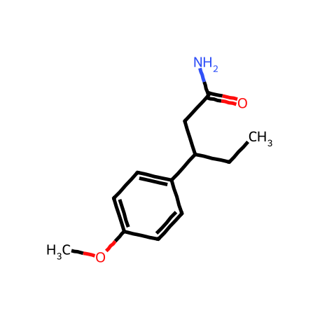 CCC(CC(N)=O)c1ccc(OC)cc1